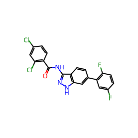 O=C(Nc1n[nH]c2cc(-c3cc(F)ccc3F)ccc12)c1ccc(Cl)cc1Cl